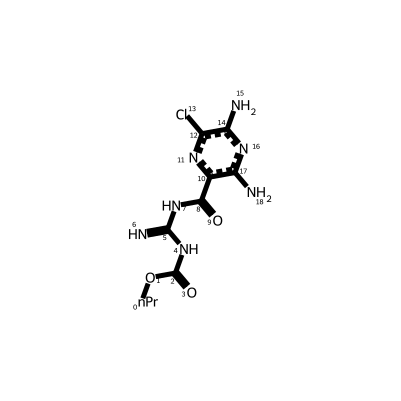 CCCOC(=O)NC(=N)NC(=O)c1nc(Cl)c(N)nc1N